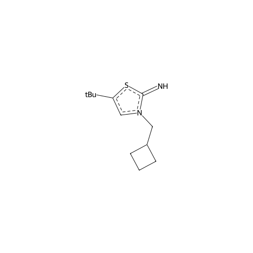 CC(C)(C)c1cn(CC2CCC2)c(=N)s1